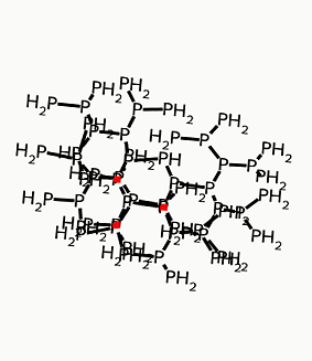 PPP(P(P)P)P(P(P)P)P(PP(P(P(P(P)P)P(P)P)P(P(P)P)P(P)P)P(P(P(P)P)P(P)P)P(P(P)P)P(P)P)P(P(P(P)P)P(P)P)P(P(P)P)P(P)P